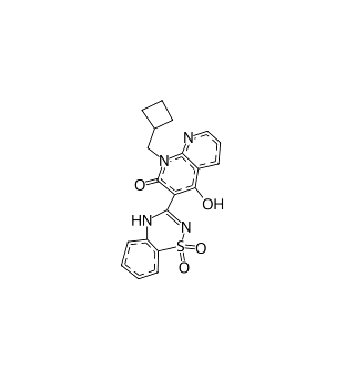 O=c1c(C2=NS(=O)(=O)c3ccccc3N2)c(O)c2cccnc2n1CC1CCC1